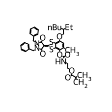 C=C(C)C(=O)OCCNC(=O)Oc1c(C)cc(OCC(CC)CCCC)c2c1SC(=C1C(=O)N(Cc3ccccc3)N(Cc3ccccc3)C1=O)S2